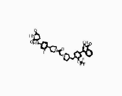 Cn1cc(-c2ccc(CC3CCN(CC(=O)N4CCC(c5ccc(NC6CCC(=O)NC6=O)cc5F)CC4)CC3)c(OC(F)(F)F)c2)c2ccccc2c1=O